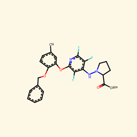 COC(=O)C1CCCN1Nc1c(F)c(F)nc(Oc2cc(C#N)ccc2OCc2ccccc2)c1F